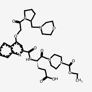 CCOC(=O)N1CCN(C(=O)[C@H](CCC(=O)O)NC(=O)c2cc(OCC(=O)N3CCCC3CN3CCOCC3)c3ccccc3n2)CC1